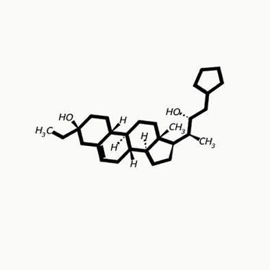 CC[C@]1(O)CC[C@H]2C(=CC[C@@H]3[C@@H]2CC[C@]2(C)[C@@H]([C@H](C)[C@H](O)CC4CCCC4)CC[C@@H]32)C1